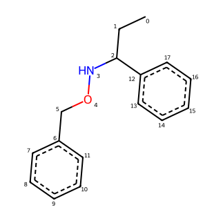 CCC(NOCc1ccccc1)c1ccccc1